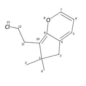 CC1(C)CC2=CC=COC2=C1CCCl